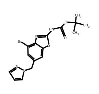 CC(C)(C)OC(=O)Nc1nc2c(Br)cc(Cn3cccn3)cc2s1